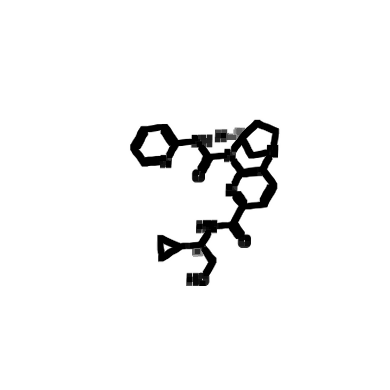 O=C(N[C@@H](CO)C1CC1)c1ccc2c(n1)N(C(=O)Nc1ccccn1)[C@H]1CCN2C1